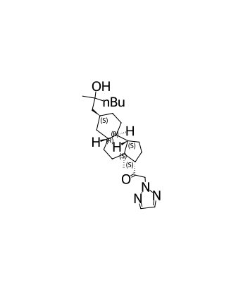 CCCCC(C)(O)C[C@H]1CC[C@@H]2[C@H](CC[C@]3(C)[C@@H](C(=O)Cn4nccn4)CC[C@@H]23)C1